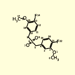 COc1cc(CS(=O)(=O)Cc2ccc(F)c(OC)c2)ccc1F